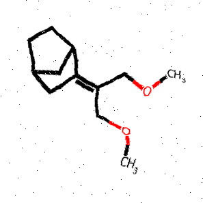 COCC(COC)=C1CC2CCC1C2